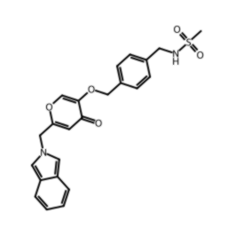 CS(=O)(=O)NCc1ccc(COc2coc(Cn3cc4ccccc4c3)cc2=O)cc1